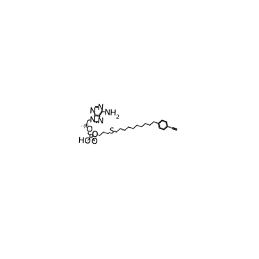 C#Cc1ccc(CCCCCCCCCCSCCCOP(=O)(O)CO[C@H](C)Cn2cnc3c(N)ncnc32)cc1